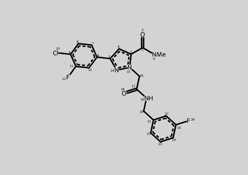 CNC(=O)c1cc(-c2ccc(Cl)c(F)c2)nn1CC(=O)NCc1cccc(F)c1